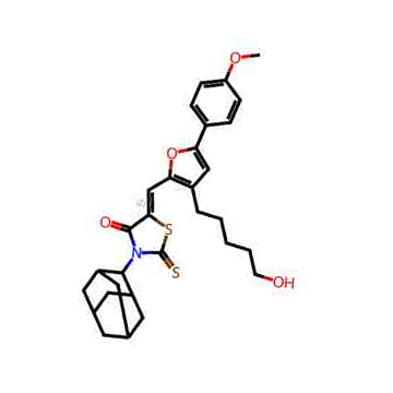 COc1ccc(-c2cc(CCCCCO)c(/C=C3\SC(=S)N(C4C5CC6CC(C5)CC4C6)C3=O)o2)cc1